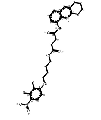 Cc1c(OCCCCOC(=O)CCC(=O)Nc2cccc3cc4c(nc23)CCCC4)ccc([N+](=O)[O-])c1C